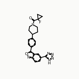 O=C(N1CCC(c2ccc(-c3onc4ccc(-c5nnn[nH]5)cc34)cc2)CC1)C1(F)CC1